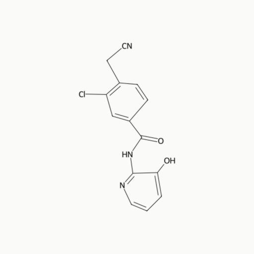 N#CCc1ccc(C(=O)Nc2ncccc2O)cc1Cl